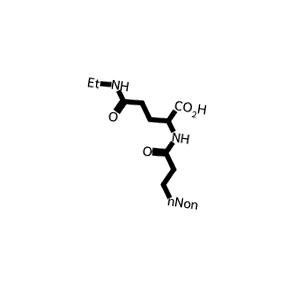 CCCCCCCCCCCC(=O)NC(CCC(=O)NCC)C(=O)O